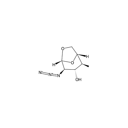 C[C@H]1[C@H](O)[C@@H](N=[N+]=[N-])[C@@H]2OC[C@H]1O2